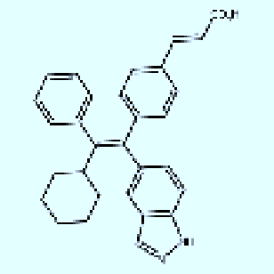 O=C(O)C=Cc1ccc(C(=C(c2ccccc2)C2CCCCC2)c2ccc3[nH]ncc3c2)cc1